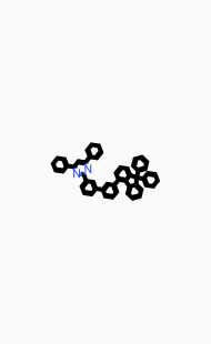 C1=CC(c2cc(C3=CCCC=C3)nc(-c3cccc(-c4cccc(-c5cccc6c5-c5ccccc5C6(C5=CCCC=C5)c5ccccc5)c4)c3)n2)=CCC1